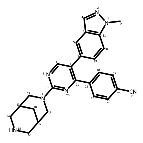 Cn1ncc2cc(-c3cnc(N4CC5CNCC(C5)C4)nc3-c3ccc(C#N)cc3)ccc21